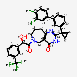 O=C(C(O)c1cccc(C(F)(F)F)c1)N1CCCc2nc(C3(c4cccc(-c5ccc(F)c(F)c5)c4)CC3)[nH]c(=O)c2C1